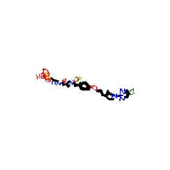 O=C(CC1CN(C(=O)Cc2ccc(OCCCC3CCN(c4ncc(Cl)cn4)CC3)cc2F)C1)NCCCS(=O)(=O)O